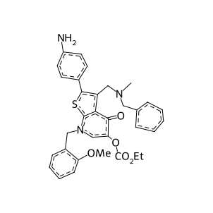 CCOC(=O)Oc1cn(Cc2ccccc2OC)c2sc(-c3ccc(N)cc3)c(CN(C)Cc3ccccc3)c2c1=O